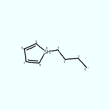 [CH2]CCC[SH]1C=CC=C1